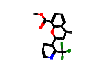 C=C1C=C(c2cccnc2C(F)(F)F)Oc2c1cccc2C(=O)OC